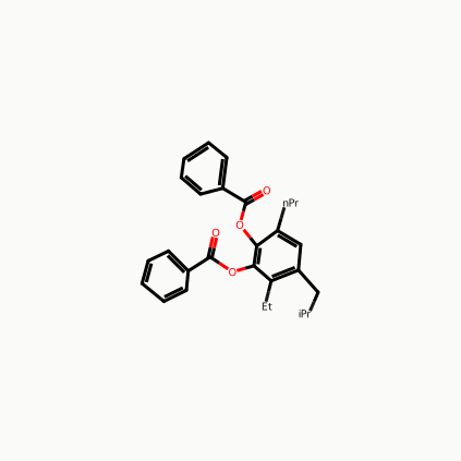 CCCc1cc(CC(C)C)c(CC)c(OC(=O)c2ccccc2)c1OC(=O)c1ccccc1